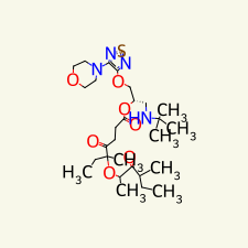 CCC(C)C(=O)C(C)OC(C)(CC)C(=O)CCC(=O)O[C@@H](CNC(C)(C)C)COc1nsnc1N1CCOCC1